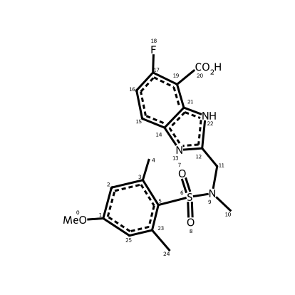 COc1cc(C)c(S(=O)(=O)N(C)Cc2nc3ccc(F)c(C(=O)O)c3[nH]2)c(C)c1